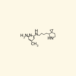 Cc1cc(N)nc(NCCCCC2CNCCC23CC3)c1